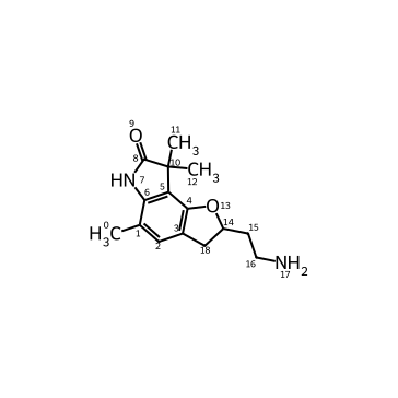 Cc1cc2c(c3c1NC(=O)C3(C)C)OC(CCN)C2